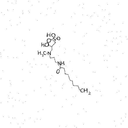 C=CCCCCCCCC(=O)NCCCN(C)CC(O)CS(=O)(=O)O